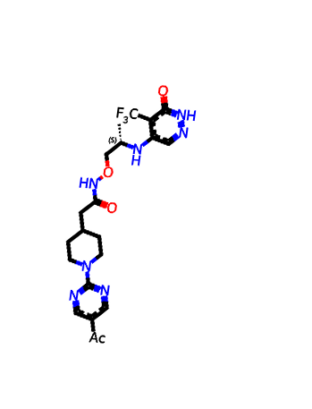 CC(=O)c1cnc(N2CCC(CC(=O)NOC[C@H](C)Nc3cn[nH]c(=O)c3C(F)(F)F)CC2)nc1